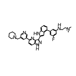 CN(C)CCNc1cc(F)cc(-c2cccc3[nH]c(-c4n[nH]c5ccc(-c6cncc(CN7CCCCC7)c6)nc45)cc23)c1